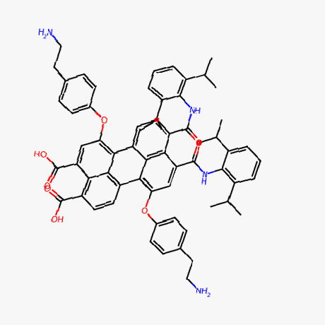 CC(C)c1cccc(C(C)C)c1NC(=O)c1ccc2c3c(Oc4ccc(CCN)cc4)cc(C(=O)O)c4c(C(=O)O)ccc(c5c(Oc6ccc(CCN)cc6)cc(C(=O)Nc6c(C(C)C)cccc6C(C)C)c1c25)c43